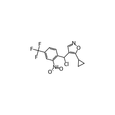 O=[N+]([O-])c1cc(C(F)(F)F)ccc1C(Cl)c1cnoc1C1CC1